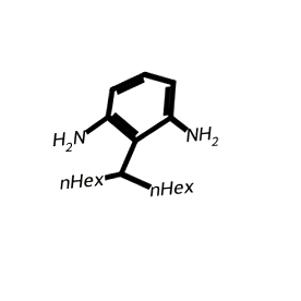 CCCCCCC(CCCCCC)c1c(N)cccc1N